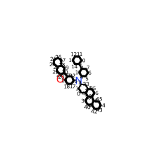 C1=CC(N(c2cccc(-c3ccccc3)c2)c2ccc3oc4cc5ccccc5cc4c3c2)Cc2ccc3c(ccc4ccccc43)c21